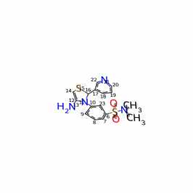 CN(C)S(=O)(=O)c1cccc(N2C(N)=CSC2c2cccnc2)c1